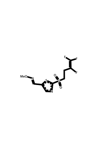 CON=Cc1cnc(S(=O)(=O)CCC(F)=C(F)F)s1